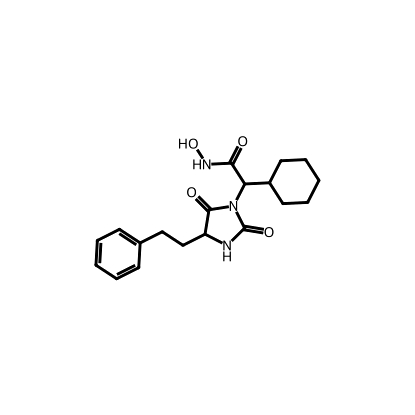 O=C(NO)C(C1CCCCC1)N1C(=O)NC(CCc2ccccc2)C1=O